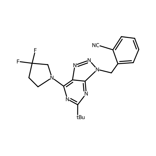 CC(C)(C)c1nc(N2CCC(F)(F)C2)c2nnn(Cc3ccccc3C#N)c2n1